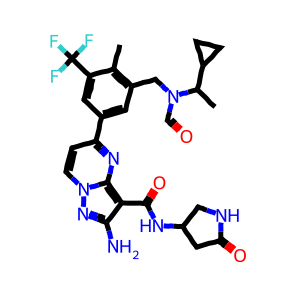 Cc1c(CN(C=O)C(C)C2CC2)cc(-c2ccn3nc(N)c(C(=O)NC4CNC(=O)C4)c3n2)cc1C(F)(F)F